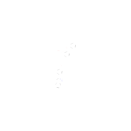 CCn1c(-c2ccc(OCCOc3ccc(C(=O)c4ccccc4)c(O)c3)cc2)cc2ccccc21